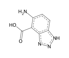 Nc1ccc2[nH]nnc2c1C(=O)O